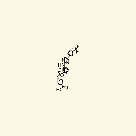 CCC(CN1CCC(C(=O)O)CC1)Oc1cccc(Nc2ncc(-c3ccc(OC(F)F)cc3)cn2)c1